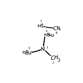 CCCCN(C)CCCC.N#CS